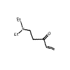 C=CC(=O)CCN(CC)CC